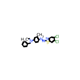 CCN(Cc1ccccc1)c1ccc(N=Nc2nc3cc(Cl)c(Cl)cc3s2)c(C)c1